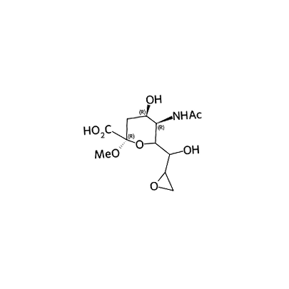 CO[C@]1(C(=O)O)C[C@@H](O)[C@@H](NC(C)=O)C(C(O)C2CO2)O1